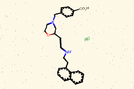 Cl.O=C(O)c1ccc(CN2CCOC(CCNCCc3cccc4ccccc34)C2)cc1